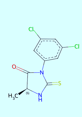 C[C@@H]1NC(=S)N(c2cc(Cl)cc(Cl)c2)C1=O